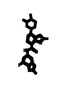 Cc1cn2cc(NC(=O)c3ccc(N4CCN(C)C(C)C4)c4cn(C)nc34)cc(F)c2n1